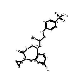 CS(=O)(=O)c1ccc(OCC(O)CN2CCC(=O)N(C3CC3)Cc3cc(Cl)ccc32)cc1